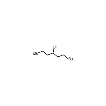 CCC(C)CCC(O)CCC(C)CC